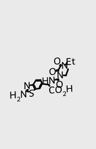 CCN1CCN(C(=O)NC(C(=O)O)c2ccc3nc(N)sc3c2)C(=O)C1=O